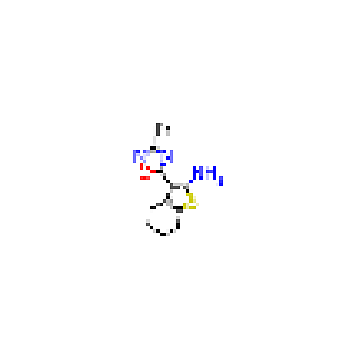 CC(C)c1noc(-c2c(N)sc3c2CCCC3)n1